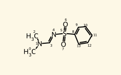 CN(C)/C=N/S(=O)(=O)c1cc[c]cc1